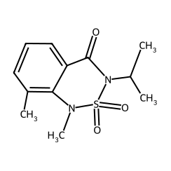 Cc1cccc2c1N(C)S(=O)(=O)N(C(C)C)C2=O